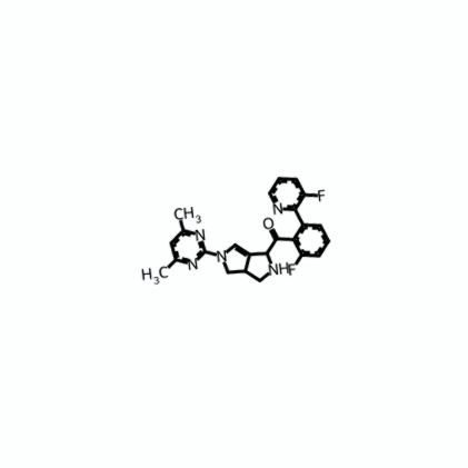 Cc1cc(C)nc(N2C=C3C(CNC3C(=O)c3c(F)cccc3-c3ncccc3F)C2)n1